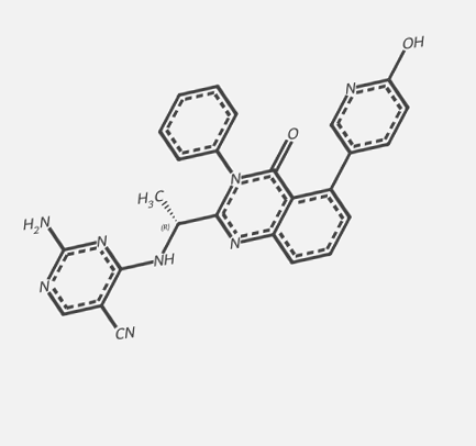 C[C@@H](Nc1nc(N)ncc1C#N)c1nc2cccc(-c3ccc(O)nc3)c2c(=O)n1-c1ccccc1